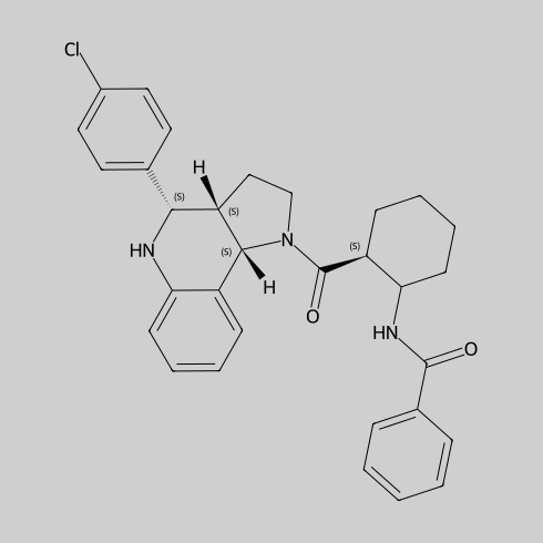 O=C(NC1CCCC[C@@H]1C(=O)N1CC[C@H]2[C@@H](c3ccc(Cl)cc3)Nc3ccccc3[C@H]21)c1ccccc1